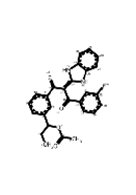 CC(=O)OC(CO)c1cccc(C(=O)C(C(=O)c2cccc(F)c2)=C2Nc3ccccc3N2)c1